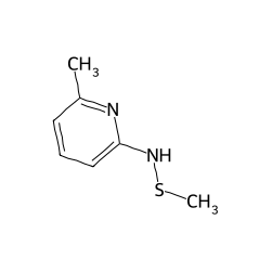 CSNc1cccc(C)n1